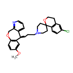 COc1ccc2c(c1)/C(=C/CCN1CCC3(CC1)OCCc1cc(Cl)ccc13)c1cccnc1CO2